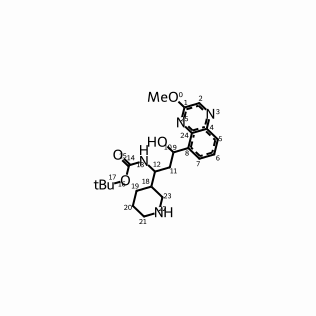 COc1cnc2cccc(C(O)CC(NC(=O)OC(C)(C)C)C3CCCNC3)c2n1